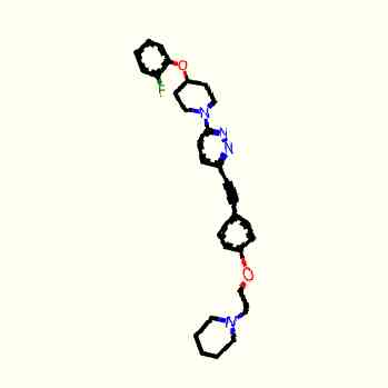 Fc1ccccc1OC1CCN(c2ccc(C#Cc3ccc(OCCN4CCCCC4)cc3)nn2)CC1